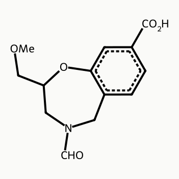 COCC1CN(C=O)Cc2ccc(C(=O)O)cc2O1